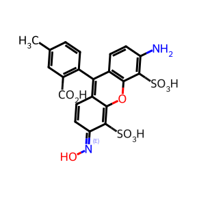 Cc1ccc(-c2c3cc/c(=N\O)c(S(=O)(=O)O)c-3oc3c(S(=O)(=O)O)c(N)ccc23)c(C(=O)O)c1